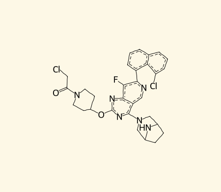 O=C(CCl)N1CCC(Oc2nc(N3CC4CCC(C3)N4)c3cnc(-c4cccc5cccc(Cl)c45)c(F)c3n2)CC1